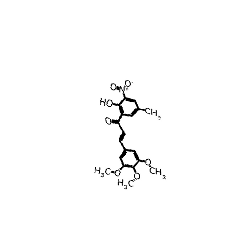 COc1cc(C=CC(=O)c2cc(C)cc([N+](=O)[O-])c2O)cc(OC)c1OC